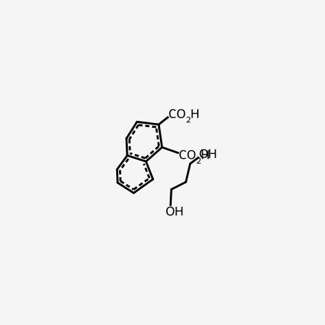 O=C(O)c1ccc2ccccc2c1C(=O)O.OCCCO